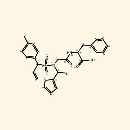 C=CC(c1ccc(C)cc1)S(=O)(=O)N(CC(=O)N[C@@H](Cc1ccccc1)C(=O)O)C(C)c1cccs1